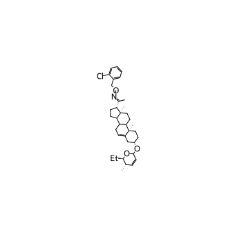 CC[C@H]1OC(O[C@H]2CC[C@@]3(C)C(=CCC4C3CC[C@@]3(C)C4CC[C@@H]3/C(C)=N/OCc3ccccc3Cl)C2)C=C[C@@H]1C